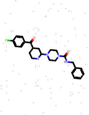 O=C(c1ccc(Cl)cc1)C1CC[N]C(N2CCN(C(=O)NCc3ccccc3)CC2)C1